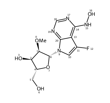 CO[C@@H]1[C@H](O)[C@@H](CO)O[C@H]1n1cc(F)c2c(NO)ncnc21